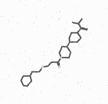 C=C(C(C)C)C1CCC(C2CCN(C(=O)CCOCCC3CCCCC3)CC2)CC1